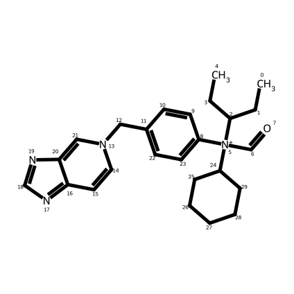 CCC(CC)[N+](C=O)(c1ccc(Cn2ccc3ncnc-3c2)cc1)C1CCCCC1